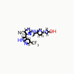 CC(Nc1ncc(C#N)c(-c2c[nH]c3ncc(C(F)(F)F)cc23)n1)c1ccc(N2CC(O)C2)nc1